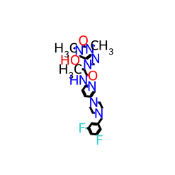 CC(C(=O)Nc1ccc(N2CCN(Cc3cc(F)cc(F)c3)CC2)cn1)n1cnc2c1C(O)N(C)C(=O)N2C